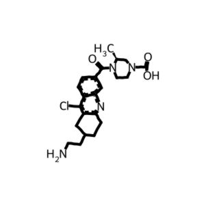 C[C@H]1CN(C(=O)O)CCN1C(=O)c1ccc2c(Cl)c3c(nc2c1)CCC(CCN)C3